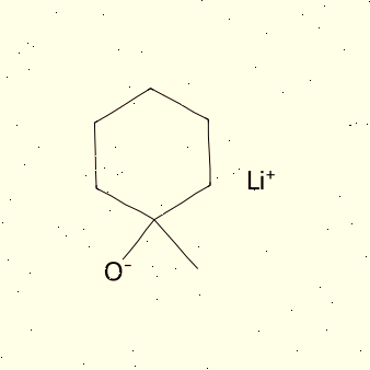 CC1([O-])CCCCC1.[Li+]